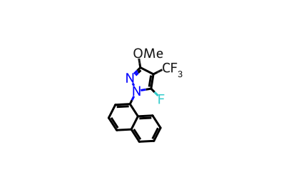 COc1nn(-c2cccc3ccccc23)c(F)c1C(F)(F)F